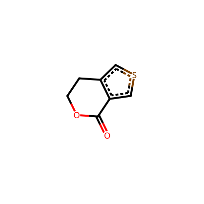 O=C1OCCc2cscc21